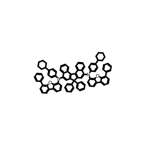 c1ccc(-c2cccc3c2oc2c(N(c4ccc(C5CCCCC5)cc4)c4cc5c(c6ccccc46)-c4c(cc(N(c6ccc(C7CCCCC7)cc6)c6cccc7c6oc6c(-c8ccccc8)cccc67)c6ccccc46)C5(c4ccccc4)c4ccccc4)cccc23)cc1